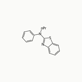 CCCN(c1ccccc1)c1nc2ccccc2s1